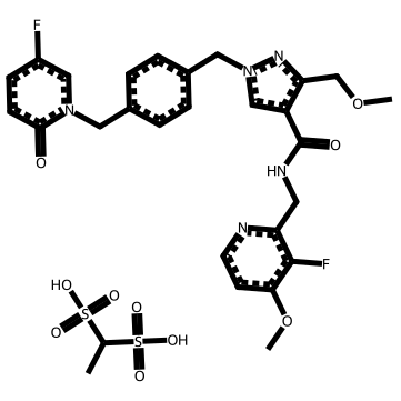 CC(S(=O)(=O)O)S(=O)(=O)O.COCc1nn(Cc2ccc(Cn3cc(F)ccc3=O)cc2)cc1C(=O)NCc1nccc(OC)c1F